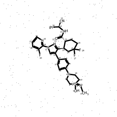 CN=[SH]1(O)CCN(c2ccc(-c3cn(-c4ncccc4F)nc3[C@@H]3CC(F)(F)CC[C@H]3C(=O)N[C@H](C#N)C(C)C)cc2)CC1